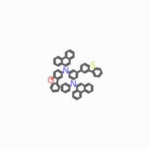 c1ccc(N(c2cc(-c3ccc4sc5ccccc5c4c3)cc(N(c3ccc4oc5ccccc5c4c3)c3cc4ccccc4c4ccccc34)c2)c2cc3ccccc3c3ccccc23)cc1